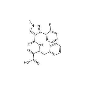 Cn1cc(C(=O)NC(Cc2ccccc2)C(=O)C(=O)O)c(-c2ccccc2F)n1